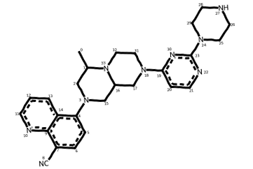 CC1CN(c2ccc(C#N)c3ncccc23)CC2CN(c3ccnc(N4CCNCC4)n3)CCN12